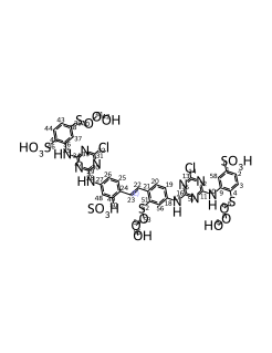 O=S(=O)(O)c1ccc(SOOO)c(Nc2nc(Cl)nc(Nc3ccc(/C=C/c4ccc(Nc5nc(Cl)nc(Nc6cc(SOOO)ccc6S(=O)(=O)O)n5)cc4S(=O)(=O)O)c(SOOO)c3)n2)c1